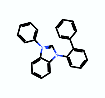 c1ccc(-c2ccccc2-n2c[n+](-c3ccccc3)c3ccccc32)cc1